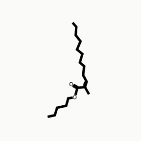 CCCCCCCCCC=C(C)C(=O)OCCCCC